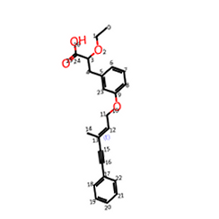 CCOC(Cc1cccc(OC/C=C(\C)C#Cc2ccccc2)c1)C(=O)O